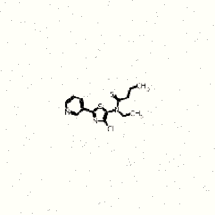 CCCC(=S)N(CC)c1sc(-c2cccnc2)nc1Cl